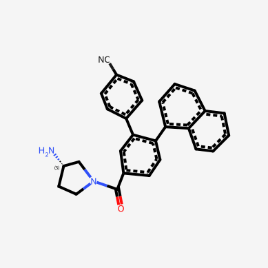 N#Cc1ccc(-c2cc(C(=O)N3CC[C@H](N)C3)ccc2-c2cccc3ccccc23)cc1